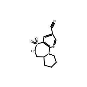 N#Cc1cnc2c(c1)S(=O)(=O)NCC1CCCCN21